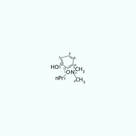 CCCON(C)C.Oc1ccccc1